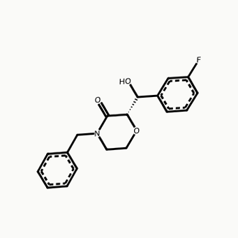 O=C1[C@H](C(O)c2cccc(F)c2)OCCN1Cc1ccccc1